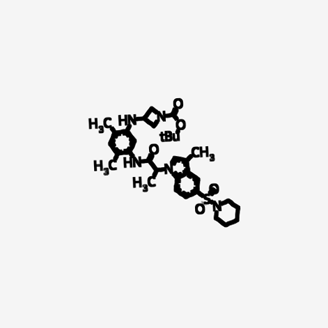 Cc1cc(C)c(NC2CN(C(=O)OC(C)(C)C)C2)cc1NC(=O)C(C)n1cc(C)c2cc(S(=O)(=O)N3CCCCC3)ccc21